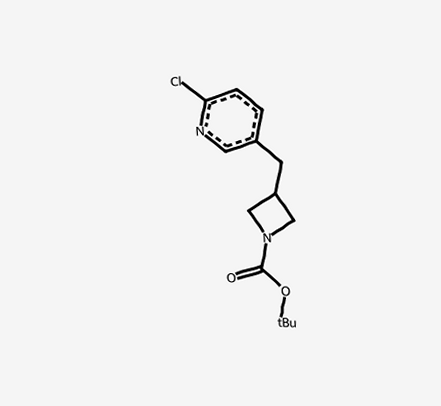 CC(C)(C)OC(=O)N1CC(Cc2ccc(Cl)nc2)C1